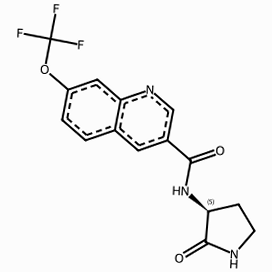 O=C(N[C@H]1CCNC1=O)c1cnc2cc(OC(F)(F)F)ccc2c1